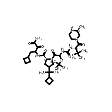 C[C@H]1CN(C(=O)[C@@H](NC(=O)NC(OC(C)(C)C)C(=O)N2CC(C(C)(C)C3CCC3)C[C@H]2C(=O)NC(CC2CCC2)C(=O)C(N)=O)C(C)(C)C)CCN1